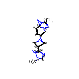 Cc1nc2ccc(N3CC(c4ncn(C)n4)C3)cn2n1